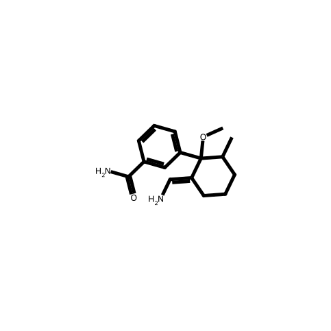 COC1(c2cccc(C(N)=O)c2)/C(=C/N)CCCC1C